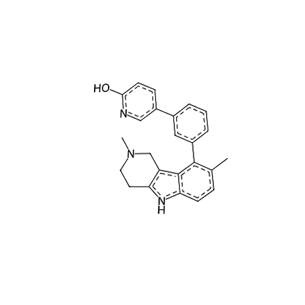 Cc1ccc2[nH]c3c(c2c1-c1cccc(-c2ccc(O)nc2)c1)CN(C)CC3